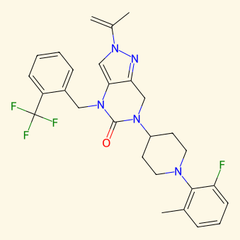 C=C(C)n1cc2c(n1)CN(C1CCN(c3c(C)cccc3F)CC1)C(=O)N2Cc1ccccc1C(F)(F)F